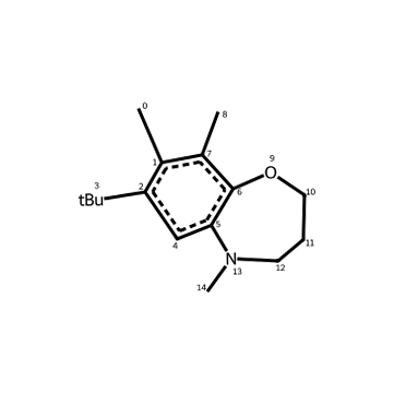 Cc1c(C(C)(C)C)cc2c(c1C)OCCCN2C